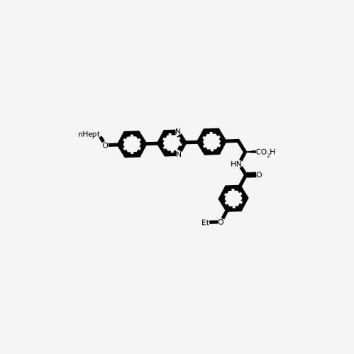 CCCCCCCOc1ccc(-c2cnc(-c3ccc(C[C@H](NC(=O)c4ccc(OCC)cc4)C(=O)O)cc3)nc2)cc1